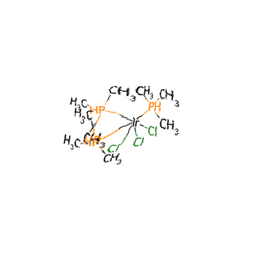 C[PH](C)(C)[Ir]([Cl])([Cl])([Cl])([PH](C)(C)C)[PH](C)(C)C